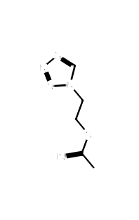 CC(=N)NCCn1[c]nnn1